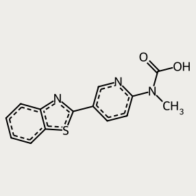 CN(C(=O)O)c1ccc(-c2nc3ccccc3s2)cn1